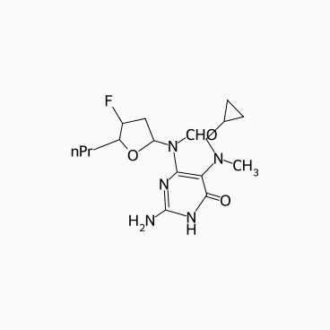 CCCC1OC(N(C=O)c2nc(N)[nH]c(=O)c2N(C)CC2CC2)CC1F